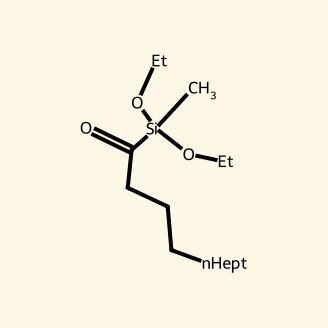 CCCCCCCCCCC(=O)[Si](C)(OCC)OCC